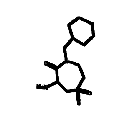 CNC1CS(=O)(=O)CCN(CC2CCCCC2)C1=O